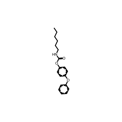 CCCCCCNC(=O)Oc1ccc(Oc2ccccc2)cc1